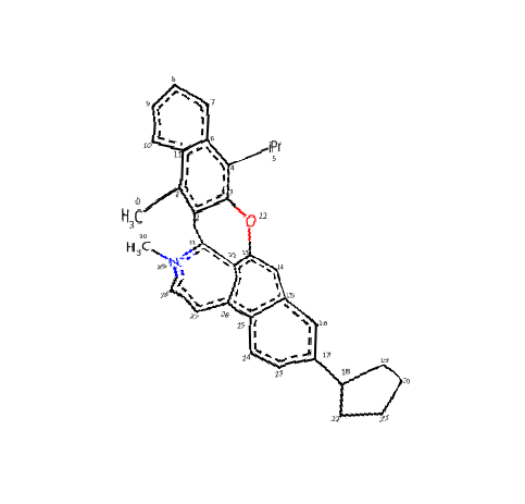 Cc1c2c(c(C(C)C)c3ccccc13)Oc1cc3cc(C4CCCC4)ccc3c3cc[n+](C)c-2c13